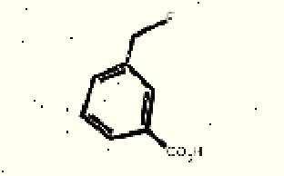 O=C(O)c1cccc(CF)c1